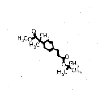 COC(=O)C(C)(C)c1ccc(C=CC(=O)OC(C)(C)C)cc1